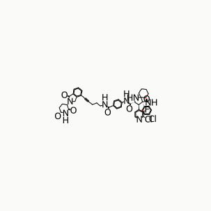 O=C1CCC(N2Cc3c(C#CCCCNC(=O)c4ccc(NC(=O)[C@@H]5NC6(CCCCC6)[C@@]6(C(=O)Nc7cc(Cl)ccc76)[C@H]5c5ccnc(Cl)c5F)cc4)cccc3C2=O)C(=O)N1